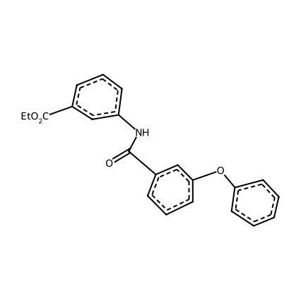 CCOC(=O)c1cccc(NC(=O)c2cccc(Oc3ccccc3)c2)c1